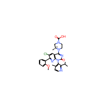 COc1ccccc1-c1nc2c(cc1Cl)c(N1CCN(C(=O)O)C[C@@H]1C)nc(=O)n2-c1c(C)ccnc1C(C)C